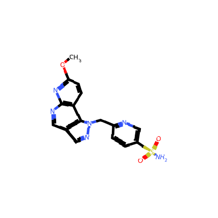 COc1ccc2c(ncc3cnn(Cc4ccc(S(N)(=O)=O)cn4)c32)n1